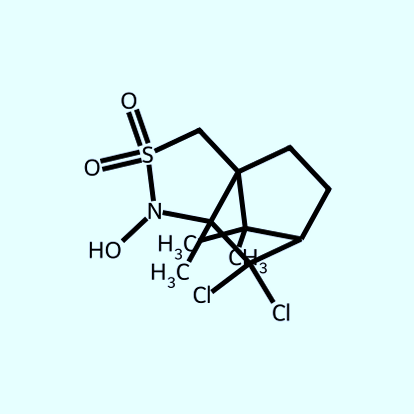 CC1(C)C2CCC13CS(=O)(=O)N(O)C3(C)C2(Cl)Cl